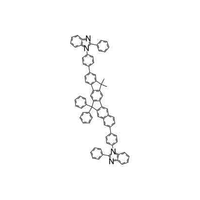 CC1(C)c2cc(-c3ccc(-n4c(-c5ccccc5)nc5ccccc54)cc3)ccc2-c2cc3c(cc21)-c1cc2ccc(-c4ccc(-n5c(-c6ccccc6)nc6ccccc65)cc4)cc2cc1C3(c1ccccc1)c1ccccc1